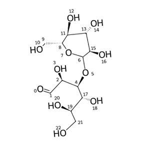 O=C[C@@H](O)[C@@H](OC1O[C@H](CO)[C@@H](O)[C@H](O)[C@H]1O)[C@H](O)[C@H](O)CO